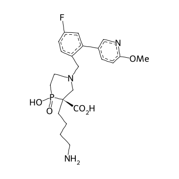 COc1ccc(-c2cc(F)ccc2CN2CCP(=O)(O)[C@](CCCCN)(C(=O)O)C2)cn1